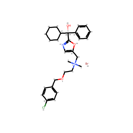 C[N+](C)(CCOCc1ccc(Cl)cc1)Cc1cnc([C@](O)(c2ccccc2)C2CCCCC2)o1.[Br-]